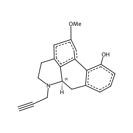 C#CCN1CCc2cc(OC)cc3c2[C@H]1Cc1cccc(O)c1-3